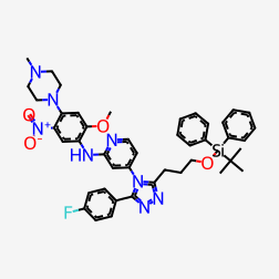 COc1cc(N2CCN(C)CC2)c([N+](=O)[O-])cc1Nc1cc(-n2c(CCCO[Si](c3ccccc3)(c3ccccc3)C(C)(C)C)nnc2-c2ccc(F)cc2)ccn1